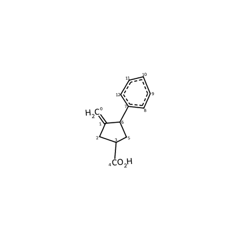 C=C1CC(C(=O)O)CC1c1ccccc1